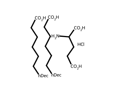 CCCCCCCCCCCCCCCC(=O)O.CCCCCCCCCCCCCCCC(=O)O.Cl.NC(CCC(=O)O)C(=O)O